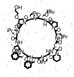 CC(C)C[C@H]1NC(=O)C[C@@H](C(=O)N2CCCCC2)NC(=O)[C@H](CC(C)C)N(C)C(=O)[C@H](Cc2ccccc2)NC(=O)[C@H](Cc2ccccc2)N(C)C(=O)[C@H]([C@@H](C)O)NC(=O)[C@H](CC(C)C)N(C)C(=O)[C@@H]2C[C@@H](OCCO)CN2C(=O)[C@H](CC(C)C)N(C)C(=O)[C@H](COC(C)(C)C)NC(=O)[C@@H]2CCCN2C1=O